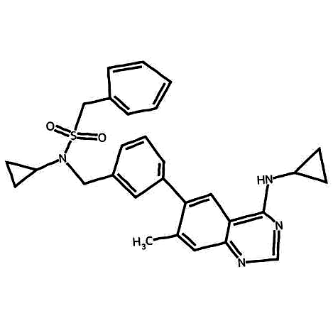 Cc1cc2ncnc(NC3CC3)c2cc1-c1cccc(CN(C2CC2)S(=O)(=O)Cc2ccccc2)c1